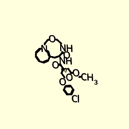 CCOC(=O)C[C@@H](CCOc1ccc(Cl)cc1)C(=O)NC1Cc2ccccccn(c2)CCOCCNC1=O